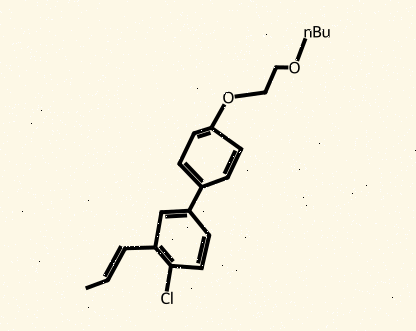 C/C=C/c1cc(-c2ccc(OCCOCCCC)cc2)ccc1Cl